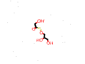 O=C(CO)SOCC(O)CO